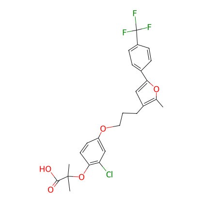 Cc1oc(-c2ccc(C(F)(F)F)cc2)cc1CCCOc1ccc(OC(C)(C)C(=O)O)c(Cl)c1